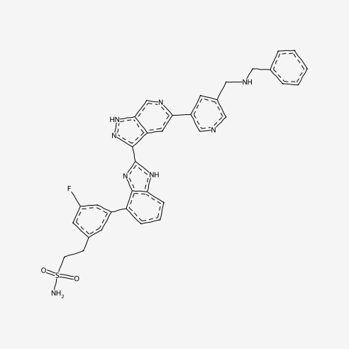 NS(=O)(=O)CCc1cc(F)cc(-c2cccc3[nH]c(-c4n[nH]c5cnc(-c6cncc(CNCc7ccccc7)c6)cc45)nc23)c1